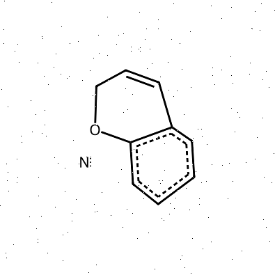 C1=Cc2ccccc2OC1.[N]